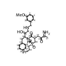 COc1cccc(CNC[C@@H](O)[C@H](Cc2ccccc2)NC(=O)C(CC(=O)N(C)N)CS(=O)(=O)CCC(C)C)c1